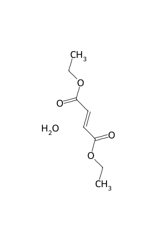 CCOC(=O)/C=C/C(=O)OCC.O